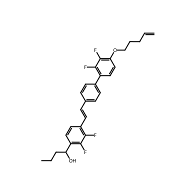 C=CCCCOc1ccc(-c2ccc(/C=C/c3ccc(C(O)CCC)c(F)c3F)cc2)c(F)c1F